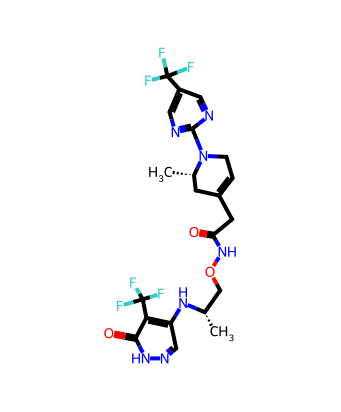 C[C@@H](CONC(=O)CC1=CCN(c2ncc(C(F)(F)F)cn2)[C@@H](C)C1)Nc1cn[nH]c(=O)c1C(F)(F)F